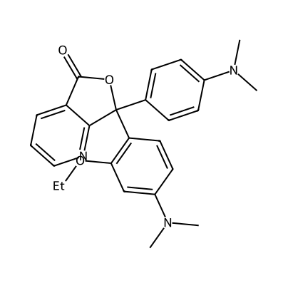 CCOc1cc(N(C)C)ccc1C1(c2ccc(N(C)C)cc2)OC(=O)c2cccnc21